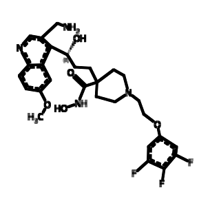 COc1ccc2ncc(CN)c([C@H](O)CCC3(C(=O)NO)CCN(CCOc4cc(F)c(F)c(F)c4)CC3)c2c1